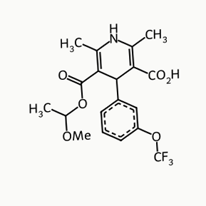 COC(C)OC(=O)C1=C(C)NC(C)=C(C(=O)O)C1c1cccc(OC(F)(F)F)c1